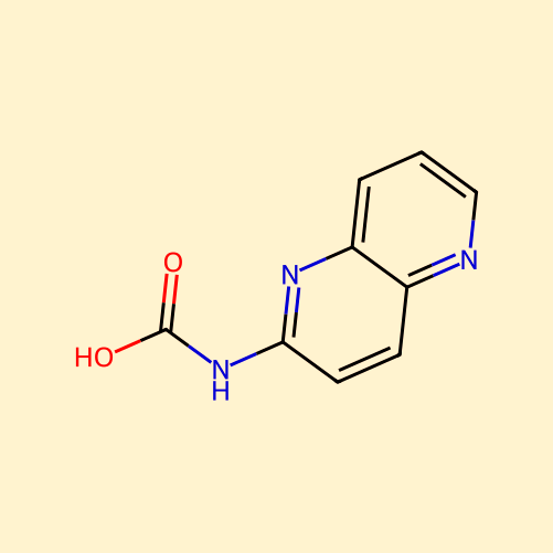 O=C(O)Nc1ccc2ncccc2n1